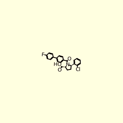 O=C(O)[C@@H]1CC[C@H](c2ccccc2Cl)N1C(=O)c1ccc(-c2ccc(F)cc2)cc1